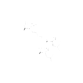 CC(C)C[C@H](N)C(=O)O.CC(C)C[C@H](N)C(=O)O.CSCC[C@H](N)C(=O)O